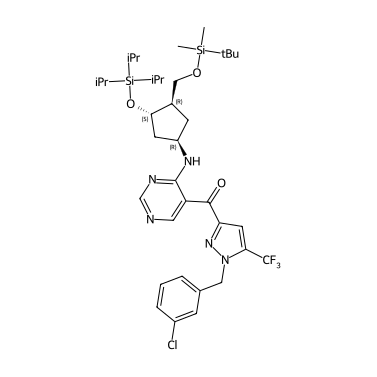 CC(C)[Si](O[C@H]1C[C@H](Nc2ncncc2C(=O)c2cc(C(F)(F)F)n(Cc3cccc(Cl)c3)n2)C[C@@H]1CO[Si](C)(C)C(C)(C)C)(C(C)C)C(C)C